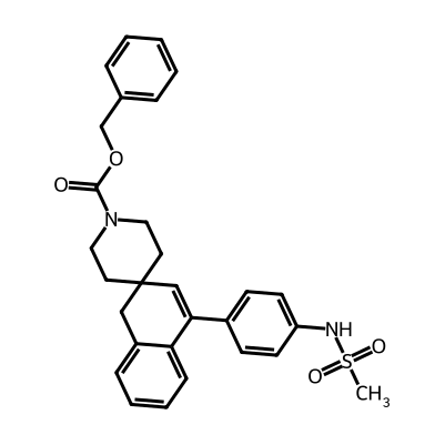 CS(=O)(=O)Nc1ccc(C2=CC3(CCN(C(=O)OCc4ccccc4)CC3)Cc3ccccc32)cc1